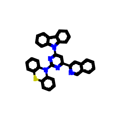 c1ccc2c(c1)Sc1ccccc1N2c1nc(-c2cc3ccccc3cn2)cc(-n2c3ccccc3c3ccccc32)n1